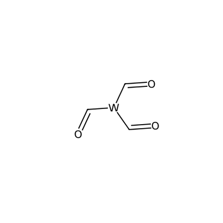 O=[CH][W]([CH]=O)[CH]=O